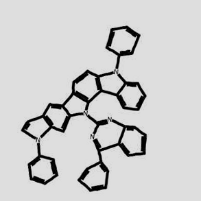 c1ccc(-c2nc(-n3c4cc5c(ccn5-c5ccccc5)cc4c4ccc5c(c6ccccc6n5-c5ccccc5)c43)nc3ccccc23)cc1